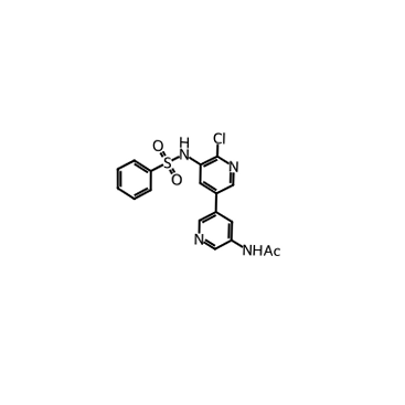 CC(=O)Nc1cncc(-c2cnc(Cl)c(NS(=O)(=O)c3ccccc3)c2)c1